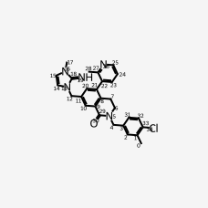 Cc1cc(CN2CCc3c(cc(Cn4ccn(C)c4=N)cc3-c3cccnc3C)C2=O)ccc1Cl